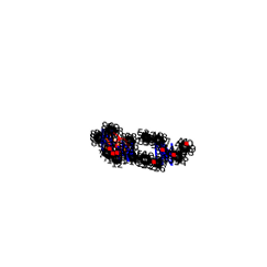 O=P1(c2cccc(P3(=O)N(c4ccccc4)c4ccc(-c5ccc(-c6cccc(-c7nc(-c8cccc(-c9ccccc9)c8)nc(-c8cccc(-c9ccccc9)c8)n7)c6)cc5)cc4N3c3ccccc3)c2)N(c2ccccc2)c2ccccc2N1c1ccccc1